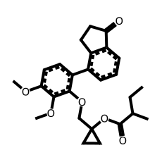 CCC(C)C(=O)OC1(COc2c(-c3cccc4c3CCC4=O)ccc(OC)c2OC)CC1